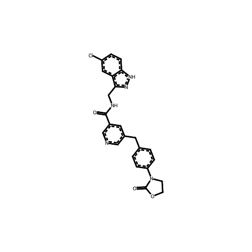 O=C(NCc1n[nH]c2ccc(Cl)cc12)c1cncc(Cc2ccc(N3CCOC3=O)cc2)c1